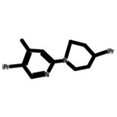 Cc1cc(N2CCC(C(C)C)CC2)ncc1C(C)C